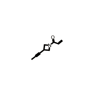 C=CC(=O)N1CC(C#CC)C1